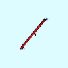 CCCOCCOCCOCCOCCOCCOCCOCCOCCOCCOCCOCCNC(=O)CCOCCOCCOCCOCCOCCOCCOCCOCCOCCOCCOCCOCCC